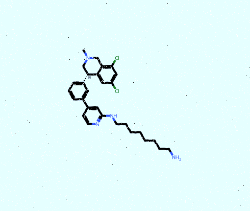 CN1Cc2c(Cl)cc(Cl)cc2[C@H](c2cccc(-c3ccnc(NCCCCCCCCN)c3)c2)C1